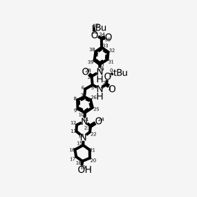 CC(C)(C)OC(=O)NC(Cc1ccc(N2CCN(C3CCC(O)CC3)CC2=O)cc1)C(=O)Nc1ccc(C(=O)OC(C)(C)C)cc1